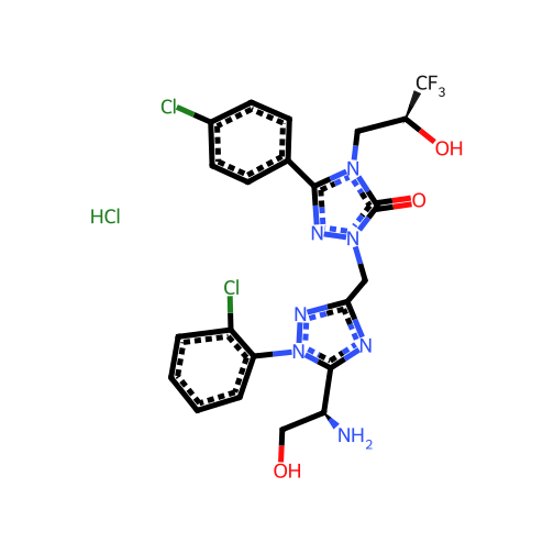 Cl.N[C@@H](CO)c1nc(Cn2nc(-c3ccc(Cl)cc3)n(C[C@H](O)C(F)(F)F)c2=O)nn1-c1ccccc1Cl